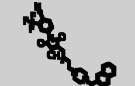 CC1=C(CCCCN2CCN(C(=O)c3ccc4ccccc4c3)CC2)C(=O)N(c2ccc(C#N)c(C(F)(F)F)c2)C1=O